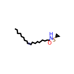 CCCCCCCC/C=C\CCCCCCCC(=O)NSC1CC1